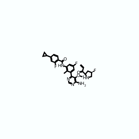 C=CC(=O)[C@@]1(COc2c(N)ncnc2-c2cc(F)cc(NC(=O)c3ccc(C4CC4)cc3F)c2C)C[C@@H](F)CN1